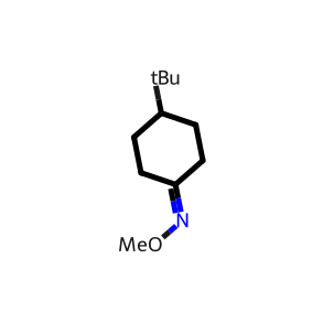 CON=C1CCC(C(C)(C)C)CC1